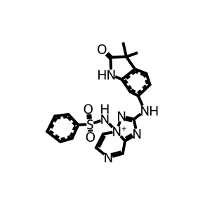 CC1(C)C(=O)Nc2cc(NC3=N[N+]4(NS(=O)(=O)c5ccccc5)C=CN=CC4=N3)ccc21